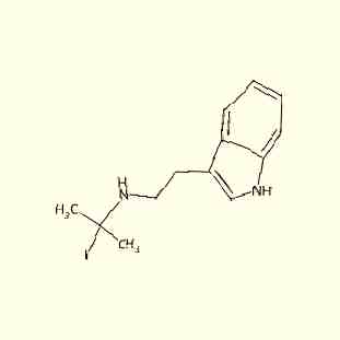 CC(C)(I)NCCc1c[nH]c2ccccc12